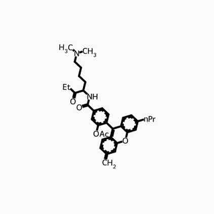 C=c1ccc2c(c1)Oc1cc(CCC)ccc1C=2c1ccc(C(=O)NC(CCCCN(C)C)C(=O)CC)cc1OC(C)=O